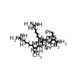 Cc1nc([C@@H](N)CCCCNC(=N)N)c(C(=O)N[C@@H](CC(C)C)c2nc(CCCCNC(=N)N)sc2C(=O)N[C@@H](C)c2nc(CC(C)C)sc2C(N)=O)s1